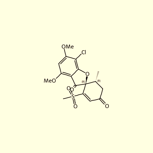 COc1cc(OC)c2c(c1Cl)O[C@]1(C2=O)C(S(C)(=O)=O)=CC(=O)C[C@H]1C